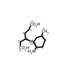 CC1CCC(N)CC1.NC(CCC(=O)O)CC(=O)O